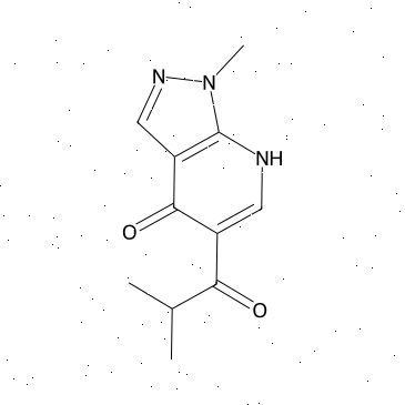 CC(C)C(=O)c1c[nH]c2c(cnn2C)c1=O